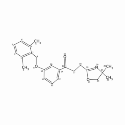 Cc1cccc(C)c1COc1cccc(C(=O)CCC2=NC(C)(C)CO2)c1